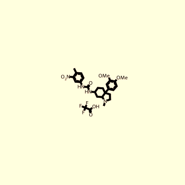 COc1ccc(C23CCC(NC(=O)Nc4ccc(C)c([N+](=O)[O-])c4)CC2N(C)CC3)cc1OC.O=C(O)C(F)(F)F